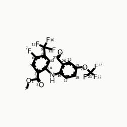 COC(=O)c1cc(F)c(C(F)(F)F)cc1Nc1ccc(OC(F)(F)F)cc1C=O